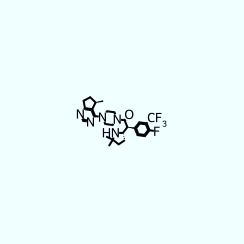 C[C@@H]1CCc2ncnc(N3CCN(C(=O)[C@@H](c4ccc(F)c(C(F)(F)F)c4)[C@@H]4CCC(C)(C)N4)CC3)c21